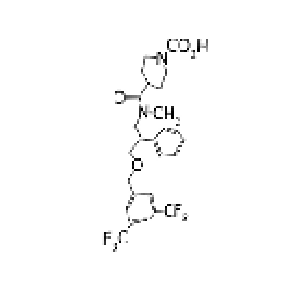 CN(CC(COCc1cc(C(F)(F)F)cc(C(F)(F)F)c1)c1ccccc1)C(=O)C1CCN(C(=O)O)CC1